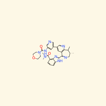 CC1c2ncc(-c3cncc(NC(=O)N4CCOCC4)c3)cc2C(c2nc3c(C(=O)N(C)C)cccc3[nH]2)=NC[C@H]1C